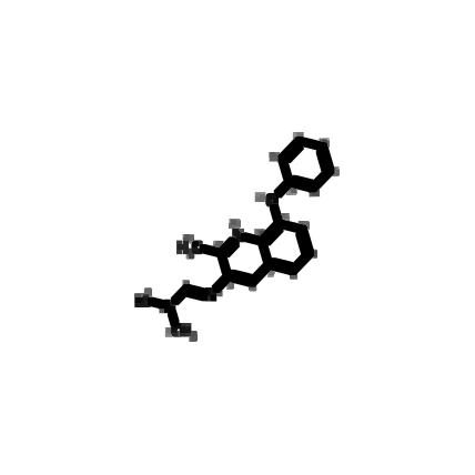 CCN(C)C=Nc1cc2cccc(Oc3ccccc3)c2nc1C